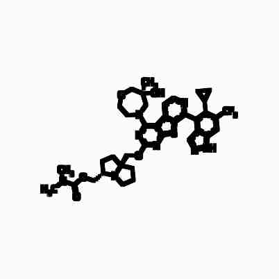 CN(C)C(=O)OC[C@@H]1CC[C@]2(COc3nc(N4CCOC[C@@](C)(O)C4)c4c(n3)sc3c(-c5c(C6CC6)c(C(F)(F)F)cc6[nH]ncc56)nccc34)CCCN12